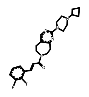 O=C(/C=C/c1cccc(F)c1F)N1CCc2cnc(N3CCN(C4CCC4)CC3)nc2CC1